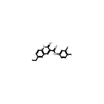 CCc1ccc2oc(=O)c(C(=O)Oc3ccc(C)c(C)c3)cc2c1